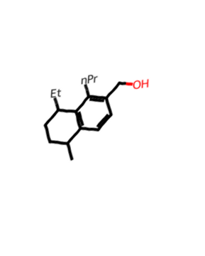 CCCc1c(CO)ccc2c1C(CC)CCC2C